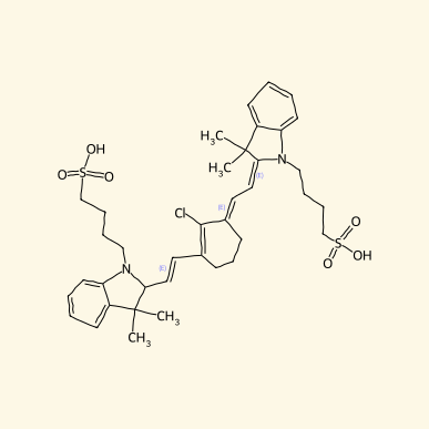 CC1(C)/C(=C\C=C2/CCCC(/C=C/C3N(CCCCS(=O)(=O)O)c4ccccc4C3(C)C)=C2Cl)N(CCCCS(=O)(=O)O)c2ccccc21